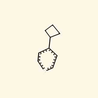 c1cc(C2CCC2)ccn1